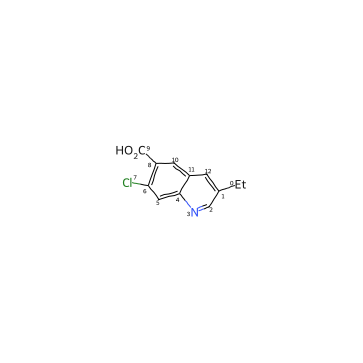 CCc1cnc2cc(Cl)c(C(=O)O)cc2c1